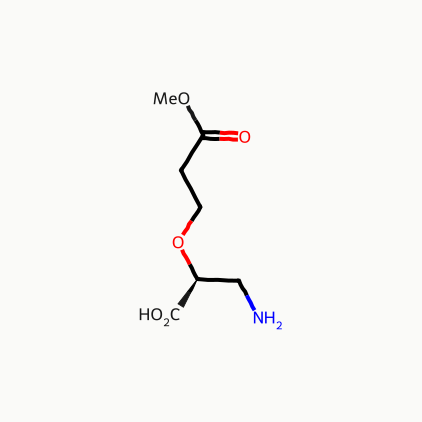 COC(=O)CCO[C@@H](CN)C(=O)O